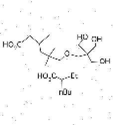 CC(CC(=O)O)CC(C)(C)COCC(CO)(CO)CO.CCCCC(CC)C(=O)O